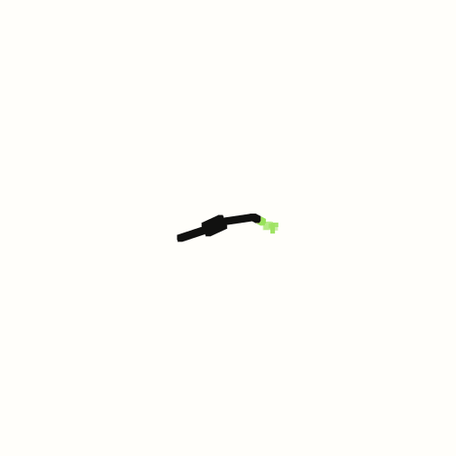 CC#CC[19F]